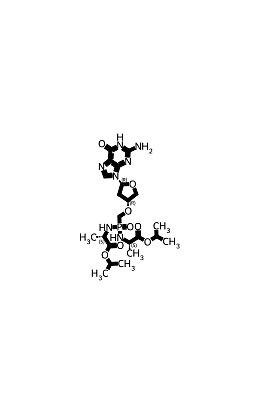 CC(C)OC(=O)[C@H](C)NP(=O)(CO[C@H]1CO[C@@H](n2cnc3c(=O)[nH]c(N)nc32)C1)N[C@@H](C)C(=O)OC(C)C